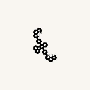 c1cc2c3c(cccc3c1)-c1c-2c(-c2ccc(-c3ccc4ccc5cccnc5c4n3)cc2)c2ccccc2c1-c1ccc(-c2ccc3ccc4cccnc4c3n2)cc1